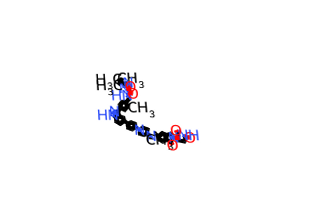 Cc1cc(-c2n[nH]c3ccc(-c4ccc(N5CCC(N(C)Cc6ccc7c(c6)CN(C6CCC(=O)NC6=O)C7=O)CC5)cc4)cc23)ccc1CNC(=O)c1nc(C(C)(C)C)no1